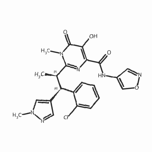 C[C@@H](c1nc(C(=O)Nc2cnoc2)c(O)c(=O)n1C)[C@H](c1cnn(C)c1)c1ccccc1Cl